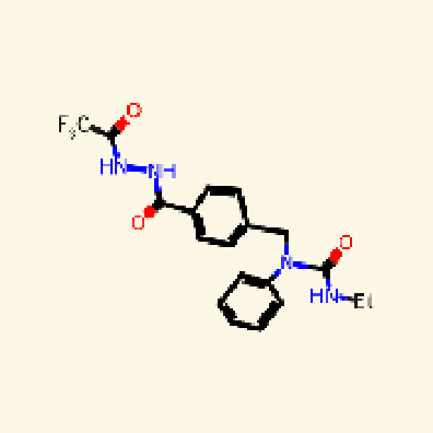 CCNC(=O)N(Cc1ccc(C(=O)NNC(=O)C(F)(F)F)cc1)c1ccccc1